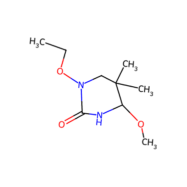 CCON1CC(C)(C)C(OC)NC1=O